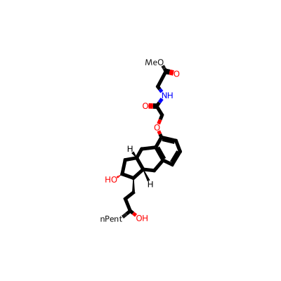 CCCCCC(O)CC[C@@H]1[C@H]2Cc3cccc(OCC(=O)NCC(=O)OC)c3C[C@H]2C[C@H]1O